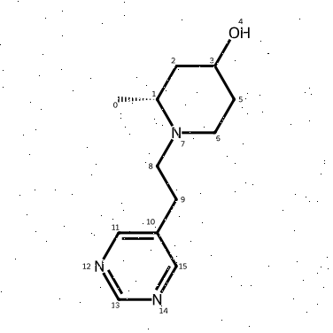 C[C@@H]1CC(O)CCN1CCc1cncnc1